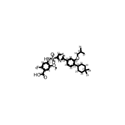 COc1cc(C(=O)O)c(F)cc1NS(=O)(=O)c1csc(-c2ccc(C3CCC(C)(C)CC3)c(OCC(C)C)c2)n1